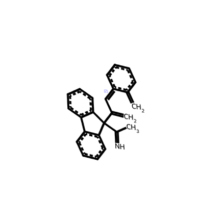 C=C(/C=c1/ccccc1=C)C1(C(C)=N)c2ccccc2-c2ccccc21